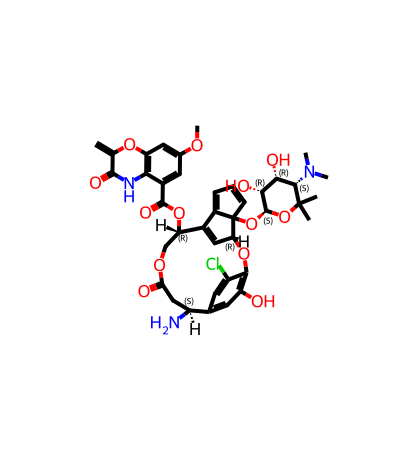 C=C1Oc2cc(OC)cc(C(=O)O[C@H]3COC(=O)C[C@H](N)c4cc(O)c(c(Cl)c4)O[C@@H]4C=C3C3=CC=CC34O[C@@H]3OC(C)(C)[C@@H](N(C)C)[C@@H](O)[C@H]3O)c2NC1=O